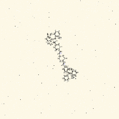 CCc1cccc(C)c1[C@H](C[C@@H](C)C1CC=C(/C=C/C2CCC(/C=C/c3ccc(N(c4ccccc4)c4c(C)cccc4CC)cc3)CC2)CC1)c1ccccc1